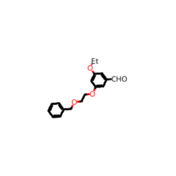 CCOc1cc(C=O)cc(OCCOCc2ccccc2)c1